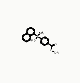 COC(=O)c1ccc(S(C)(C)c2cccc3ccccc23)cc1